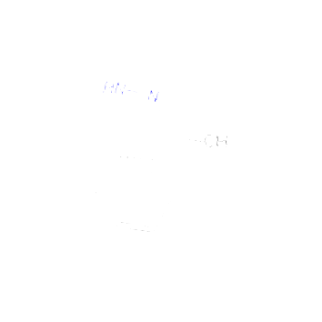 CC1=NNCc2ccccc21